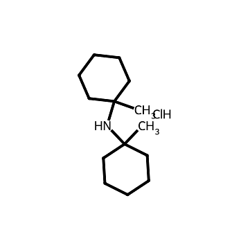 CC1(NC2(C)CCCCC2)CCCCC1.Cl